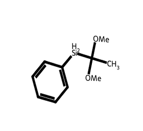 COC(C)(OC)[SiH2]c1ccccc1